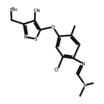 Cc1cc(N=CN(C)C)c(Cl)cc1Oc1snc(CC(C)(C)C)c1C#N